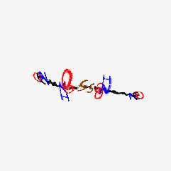 O=C=NCCCCCCNC(=O)OCCSCCSCCOC(=O)NCCCCCCN=C=O